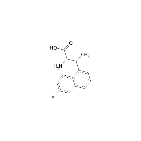 C[C@H](c1cccc2cc(F)ccc12)[C@H](N)C(=O)O